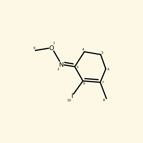 CO/N=C1\CCCC(C)=C1I